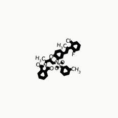 C/C(=C\c1ccc2c(c1)N(S(=O)(=O)c1cccc(C)c1)CC([C@@H](C)N1C(=O)c3ccccc3C1=O)O2)c1c(F)cccc1Cl